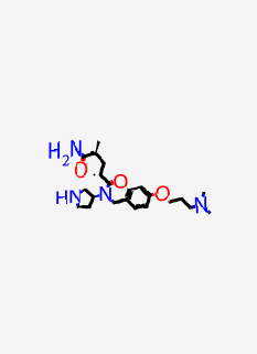 C[C@@H](C[CH]C(=O)N(Cc1ccc(OCCCN(C)C)cc1)[C@H]1CCNC1)C(N)=O